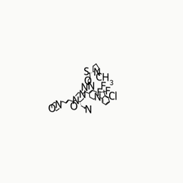 CN1CCC[C@H]1C(=S)COc1nc2c(c(N3CCN(C(=O)/C=C/CN4CCOCC4)[C@@H](CC#N)C3)n1)CCN(c1cccc(Cl)c1C(F)(F)F)C2